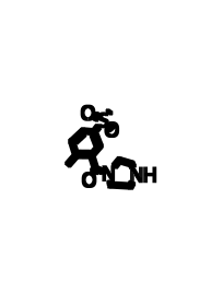 Cc1ccc(S(C)(=O)=O)cc1C(=O)N1CCNCC1